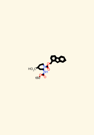 CC(C)(C)OC(=O)NC1CC(C(=O)O)CCN1C(=O)OCc1cccc2c1Cc1ccccc1-2